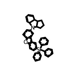 C1=CC2C3CCCC3N(c3ccc4oc5ccc([Si](c6ccccc6)(c6ccccc6)c6ccccc6)cc5c4c3)C2C=C1